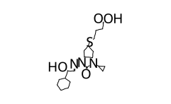 O=C(O)CCCSC1CC2C(C1)N(C1CC1)C(=O)N2/N=C/C(O)C1CCCCC1